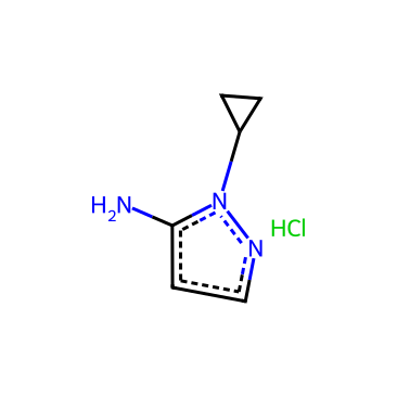 Cl.Nc1ccnn1C1CC1